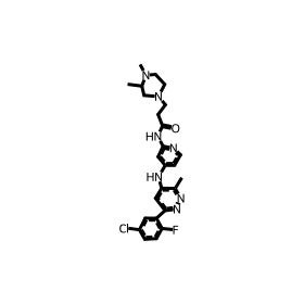 Cc1nnc(-c2cc(Cl)ccc2F)cc1Nc1ccnc(NC(=O)CCN2CCN(C)C(C)C2)c1